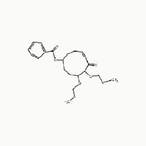 COCOC1CCC(OC(=O)c2ccccc2)CCC=CC(=O)C1OCOC